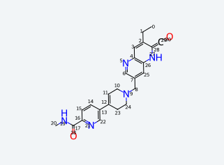 CCC1=Cc2ncc(CN3CC=C(c4ccc(C(=O)NC)nc4)CC3)cc2NC1=C=O